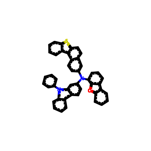 c1ccc(-n2c3ccccc3c3ccc(N(c4ccc5c(ccc6sc7ccccc7c65)c4)c4cccc5c4oc4ccccc45)cc32)cc1